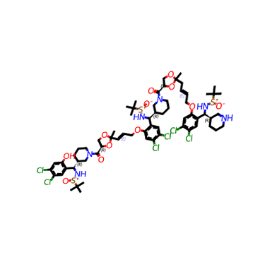 CC1(/C=C/COc2cc(Cl)c(Cl)cc2C(N[S+]([O-])C(C)(C)C)[C@@H]2CCCN(C(=O)[C@H]3COC(C)(C/C=C/COc4cc(Cl)c(Cl)cc4C(N[S+]([O-])C(C)(C)C)[C@@H]4CCCNC4)O3)C2)OC[C@H](C(=O)N2CCC[C@@H](C(N[S+]([O-])C(C)(C)C)c3cc(Cl)c(Cl)cc3O)C2)O1